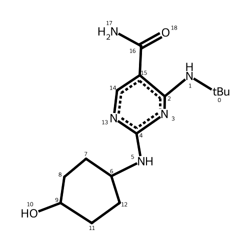 CC(C)(C)Nc1nc(NC2CCC(O)CC2)ncc1C(N)=O